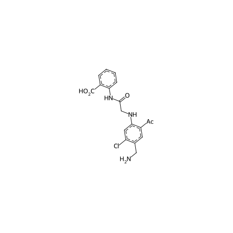 CC(=O)c1cc(CN)c(Cl)cc1NCC(=O)Nc1ccccc1C(=O)O